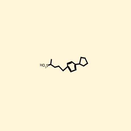 CC(CCCc1ccc(C2CCCC2)cc1)S(=O)(=O)O